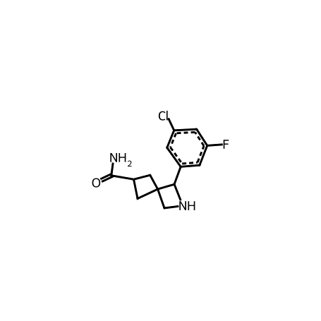 NC(=O)C1CC2(CNC2c2cc(F)cc(Cl)c2)C1